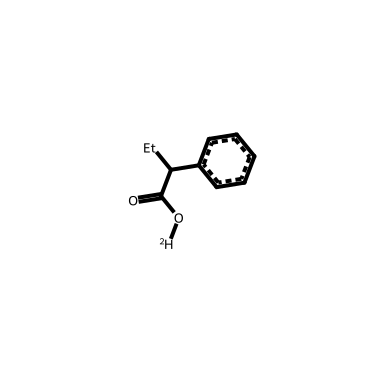 [2H]OC(=O)C(CC)c1ccccc1